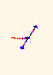 CC(C)(C)OC(=O)CCOCCOCCOCCNC(=O)c1ccc(CN(CCCCCCCNC(=O)CCCC[C@@H]2SC[C@@H]3NC(=O)N[C@@H]32)CCCCCCNC(=O)CCCC[C@@H]2SC[C@@H]3NC(=O)N[C@@H]32)cc1